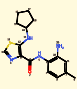 Cc1ccc(NC(=O)c2ncsc2NC2CCCC2)c(N)c1